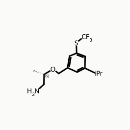 CC(C)c1cc(CO[C@@H](C)CN)cc(SC(F)(F)F)c1